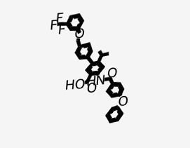 CC(C)c1cc(NC(=O)c2ccc(Oc3ccccc3)cc2)c(C(=O)O)cc1-c1ccc(COc2cccc(C(F)(F)F)c2)cc1